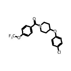 O=C(c1ccc(OC(F)(F)F)cc1)N1CCC(Oc2ccc(Cl)cc2)CC1